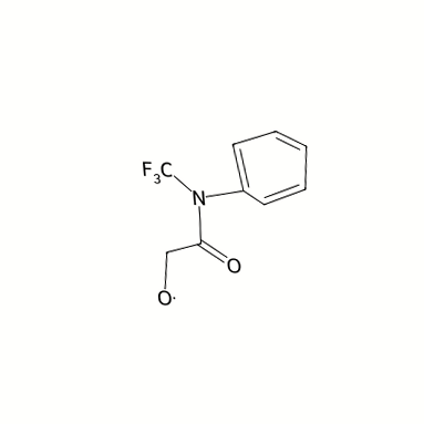 [O]CC(=O)N(c1ccccc1)C(F)(F)F